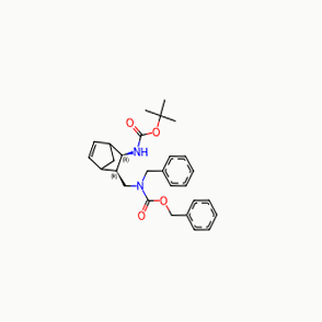 CC(C)(C)OC(=O)N[C@@H]1C2C=CC(C2)[C@@H]1CN(Cc1ccccc1)C(=O)OCc1ccccc1